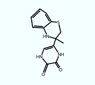 CC1(c2c[nH]c(=O)c(=O)[nH]2)CSc2ccccc2N1